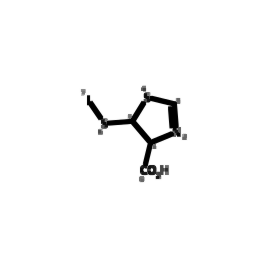 O=C(O)C1N=CSC1SI